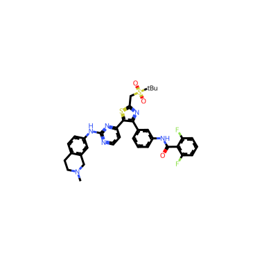 CN1CCc2ccc(Nc3nccc(-c4sc(CS(=O)(=O)C(C)(C)C)nc4-c4cccc(NC(=O)c5c(F)cccc5F)c4)n3)cc2C1